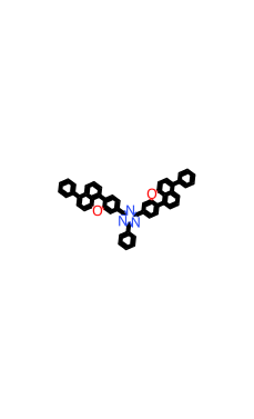 c1ccc(-c2nc(-c3ccc4c(c3)Oc3ccc(-c5ccccc5)c5cccc-4c35)nc(-c3ccc4c(c3)Oc3ccc(-c5ccccc5)c5cccc-4c35)n2)cc1